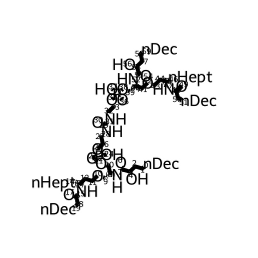 CCCCCCCCCCCCC(O)C(=O)N[C@H](COCC[C@@H](CCCCCCC)NC(=O)CCCCCCCCCCC)COP(=O)(O)OCCNC(=O)NCCOP(=O)(O)OC[C@@H](COCC[C@@H](CCCCCCC)NC(=O)CCCCCCCCCCC)NC(=O)C(O)CCCCCCCCCCCC